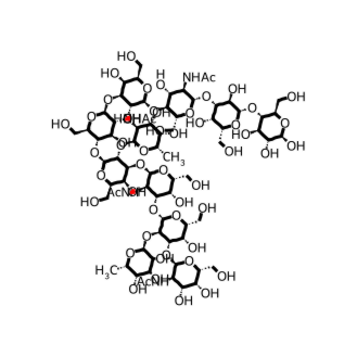 CC(=O)N[C@H]1[C@H](O[C@H]2[C@@H](O)[C@@H](CO)O[C@@H](O[C@H]3[C@H](O)[C@@H](O)[C@H](O)O[C@@H]3CO)[C@@H]2O)O[C@H](CO)[C@@H](O[C@@H]2O[C@H](CO)[C@H](O)[C@H](O[C@@H]3O[C@H](CO)[C@@H](O[C@@H]4O[C@H](CO)[C@H](O)[C@H](O[C@H]5O[C@H](CO)[C@H](O)[C@H](O[C@@H]6O[C@H](CO)[C@H](O)[C@H](O[C@H]7O[C@H](CO)[C@H](O)[C@H](O)[C@H]7NC(C)=O)[C@H]6O[C@@H]6O[C@@H](C)[C@@H](O)[C@@H](O)[C@@H]6O)[C@H]5NC(C)=O)[C@H]4O[C@@H]4O[C@@H](C)[C@@H](O)[C@@H](O)[C@@H]4O)[C@H](O)[C@H]3NC(C)=O)[C@H]2O)[C@@H]1O